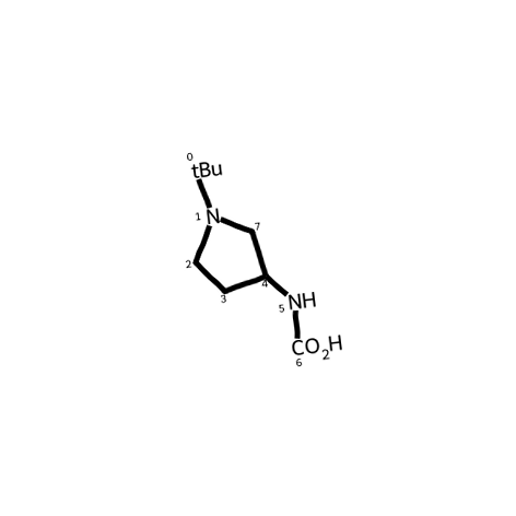 CC(C)(C)N1CCC(NC(=O)O)C1